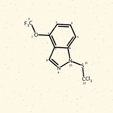 FC(F)(F)Oc1cccc2c1cnn2SC(Cl)(Cl)Cl